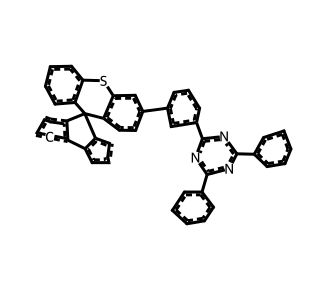 c1ccc(-c2nc(-c3ccccc3)nc(-c3cccc(-c4ccc5c(c4)Sc4ccccc4C54c5ccccc5-c5ccccc54)c3)n2)cc1